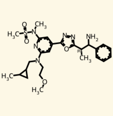 COCCN(CC1CC1C)c1cc(-c2nnc([C@H](C)C(N)c3ccccc3)o2)cc(N(C)S(C)(=O)=O)n1